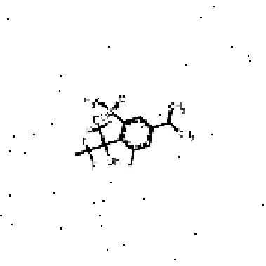 CC(C)c1cc(F)c(C(O)(C(F)(F)F)C(F)(F)F)c(S(C)(=O)=O)c1